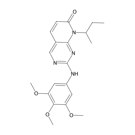 CCC(C)n1c(=O)ccc2cnc(Nc3cc(OC)c(OC)c(OC)c3)nc21